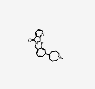 CN1CC/C=C(/C2C=CC=C(CN3Cc4ncccc4C3=O)C(F)=C2)CCC1